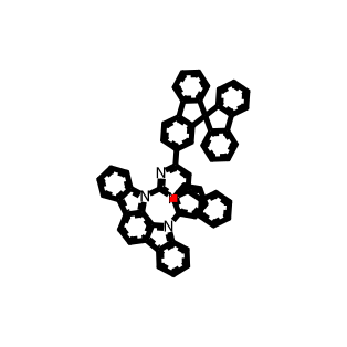 c1ccc(-c2cc(-c3ccc4c(c3)C3(c5ccccc5-c5ccccc53)c3ccccc3-4)nc(-n3c4ccccc4c4ccc5c6ccccc6n(-c6ccccc6)c5c43)n2)cc1